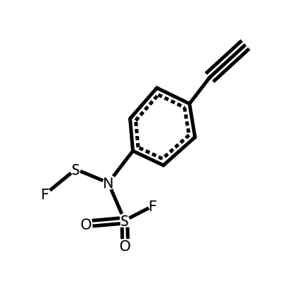 C#Cc1ccc(N(SF)S(=O)(=O)F)cc1